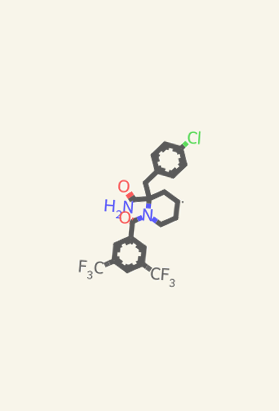 NC(=O)C1(Cc2ccc(Cl)cc2)C[CH]CCN1C(=O)c1cc(C(F)(F)F)cc(C(F)(F)F)c1